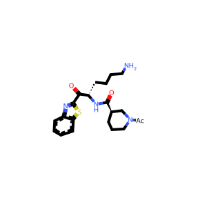 CC(=O)N1CCC[C@@H](C(=O)N[C@@H](CCCCN)C(=O)c2nc3ccccc3s2)C1